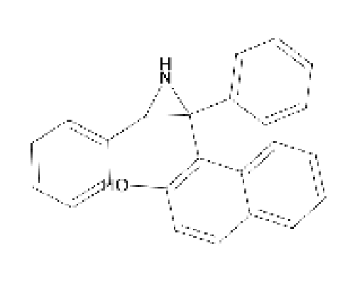 Oc1ccc2ccccc2c1C1(c2ccccc2)NC1c1ccccc1